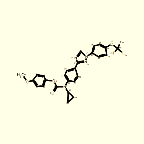 COc1ccc(OC(=O)N(c2ccc(-c3ncn(-c4ccc(OC(F)(F)F)cc4)n3)cc2)C2CC2)cc1